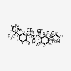 Cc1ccc(C2(C(F)(F)F)C=CN=N2)cc1C([S+]([O-])C(c1cc(C2(C(F)(F)F)C=CN=N2)ccc1C)C(F)(F)F)C(F)(F)F